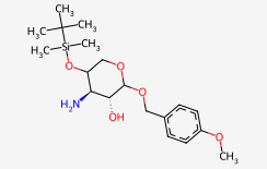 COc1ccc(COC2OCC(O[Si](C)(C)C(C)(C)C)[C@H](N)[C@H]2O)cc1